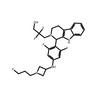 OCC(F)(F)CN1CCc2c([nH]c3ccccc23)C1c1c(F)cc(NC2CN(CCCF)C2)cc1F